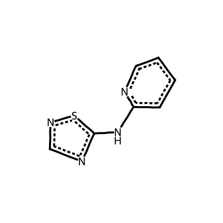 c1ccc(Nc2ncns2)nc1